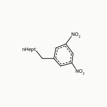 CCCCCCCCc1[c]c([N+](=O)[O-])cc([N+](=O)[O-])c1